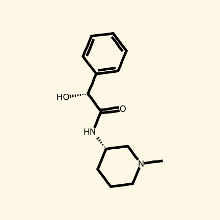 CN1CCC[C@H](NC(=O)[C@H](O)c2ccccc2)C1